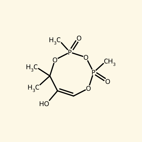 CC1(C)OP(C)(=O)OP(C)(=O)O/C=C\1O